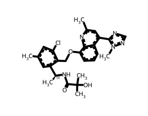 Cc1cc(Cl)c(COc2cccc3c(-c4ncnn4C)cc(C)nc23)c([C@H](C)NC(=O)C(C)(C)O)c1